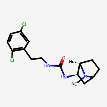 N#CN1C2CC[C@@H]1[C@H](NC(=O)NCCc1cc(Cl)ccc1Cl)C2